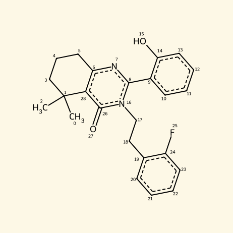 CC1(C)CCCc2nc(-c3ccccc3O)n(CCc3ccccc3F)c(=O)c21